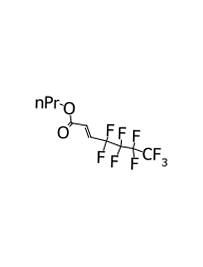 CCCOC(=O)C=CC(F)(F)C(F)(F)C(F)(F)C(F)(F)F